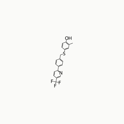 Cc1cc(SCc2ccc(-c3ccc(C(F)(F)F)cn3)cc2)ccc1O